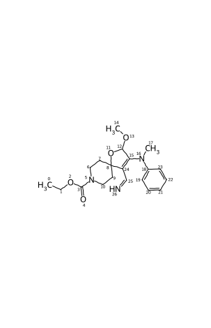 CCOC(=O)N1CCC2(CC1)OC(OC)C(N(C)c1ccccc1)=C2C=N